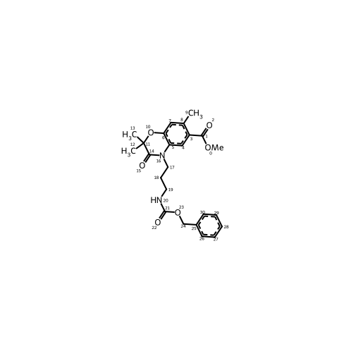 COC(=O)c1cc2c(cc1C)OC(C)(C)C(=O)N2CCCNC(=O)OCc1ccccc1